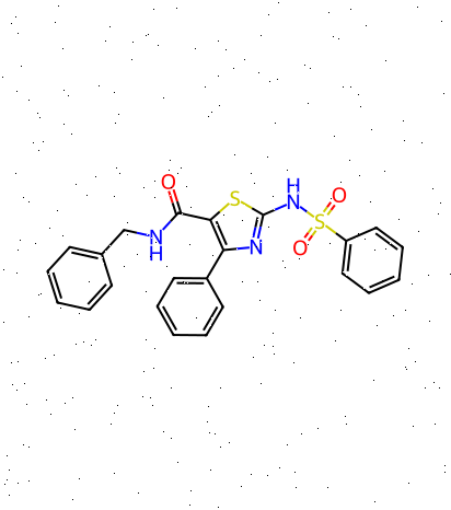 O=C(NCc1ccccc1)c1sc(NS(=O)(=O)c2ccccc2)nc1-c1ccccc1